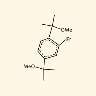 COC(C)(C)c1ccc(C(C)(C)OC)c(C(C)C)c1